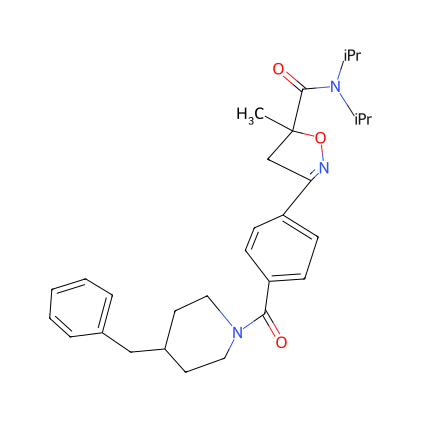 CC(C)N(C(=O)C1(C)CC(c2ccc(C(=O)N3CCC(Cc4ccccc4)CC3)cc2)=NO1)C(C)C